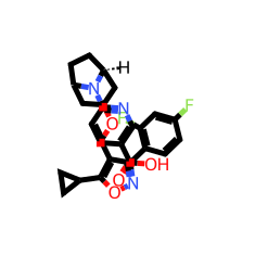 O=C(O)c1ccc(N2C3CC[C@H]2CC(OCc2c(-c4ccc(F)cc4F)noc2C2CC2)C3)nc1